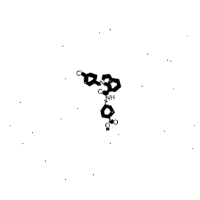 COC(=O)[C@H]1CC[C@H](CNC(=O)c2cccc3ccn(Cc4ccc(Cl)cc4)c23)CC1